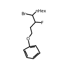 CCCCCCC(Br)C(F)CCOc1ccccc1